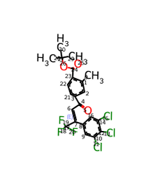 Cc1cc(C(=O)/C=C(\c2cc(Cl)c(Cl)c(Cl)c2)C(F)(F)F)ccc1C(=O)OC(C)(C)C